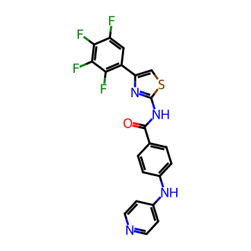 O=C(Nc1nc(-c2cc(F)c(F)c(F)c2F)cs1)c1ccc(Nc2ccncc2)cc1